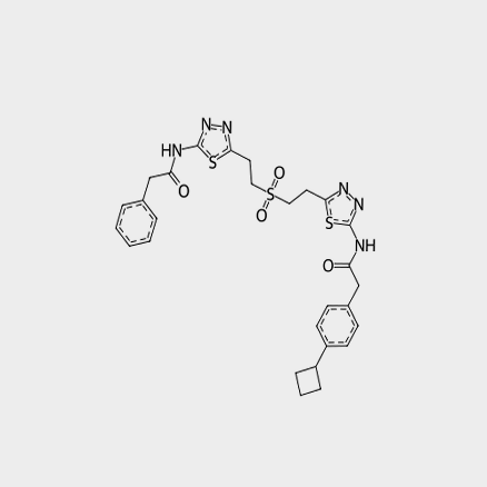 O=C(Cc1ccccc1)Nc1nnc(CCS(=O)(=O)CCc2nnc(NC(=O)Cc3ccc(C4CCC4)cc3)s2)s1